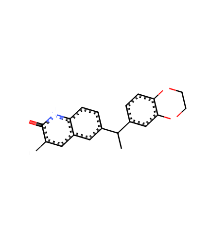 CCc1cc2cc(C(C)c3ccc4c(c3)OCCO4)ccc2[nH]c1=O